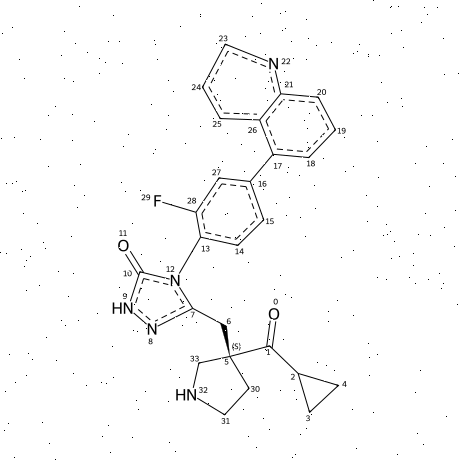 O=C(C1CC1)[C@]1(Cc2n[nH]c(=O)n2-c2ccc(-c3cccc4ncccc34)cc2F)CCNC1